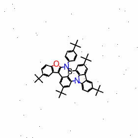 CC(C)(C)c1ccc(N2B3c4c(cc(C(C)(C)C)cc4-n4c5ccc(C(C)(C)C)cc5c5cc(C(C)(C)C)cc3c54)-c3c2oc2ccc(C(C)(C)C)cc32)cc1